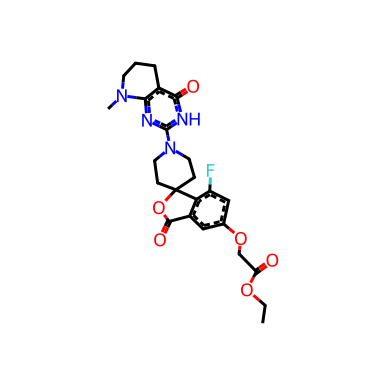 CCOC(=O)COc1cc(F)c2c(c1)C(=O)OC21CCN(c2nc3c(c(=O)[nH]2)CCCN3C)CC1